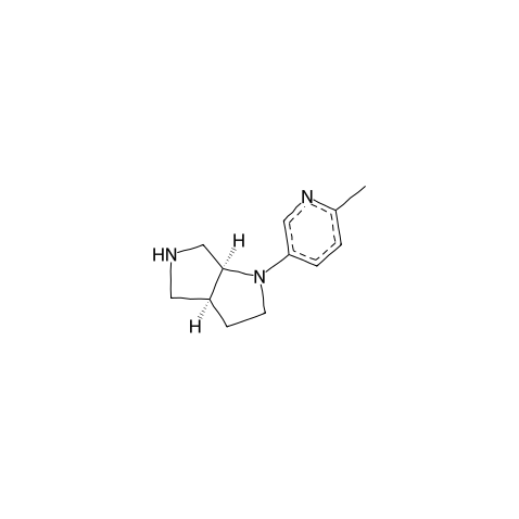 Cc1ccc(N2CC[C@H]3CNC[C@H]32)cn1